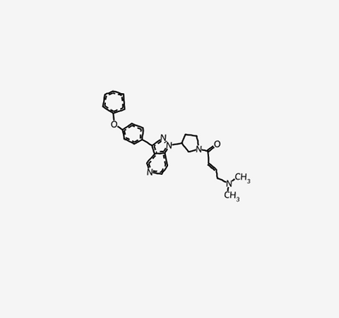 CN(C)CC=CC(=O)N1CCC(n2nc(-c3ccc(Oc4ccccc4)cc3)c3cnccc32)C1